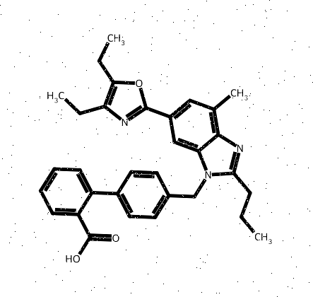 CCCc1nc2c(C)cc(-c3nc(CC)c(CC)o3)cc2n1Cc1ccc(-c2ccccc2C(=O)O)cc1